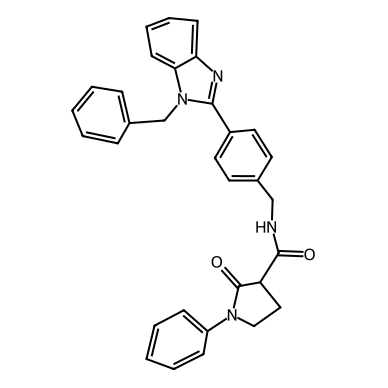 O=C(NCc1ccc(-c2nc3ccccc3n2Cc2ccccc2)cc1)C1CCN(c2ccccc2)C1=O